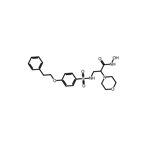 O=C(NO)C(CNS(=O)(=O)c1ccc(OCCc2ccccc2)cc1)N1CCOCC1